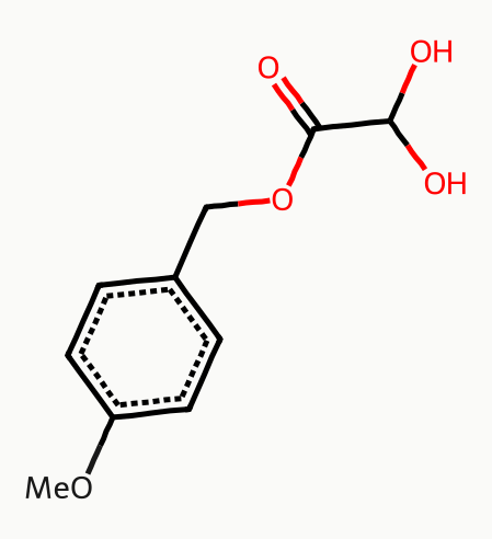 COc1ccc(COC(=O)C(O)O)cc1